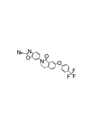 N#Cc1nc2ccc(N3CCc4ccc(Oc5ccc(C(F)(F)F)cc5)cc4C3=O)cc2o1